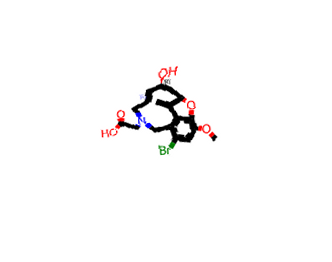 C=C1c2c3c(Br)cc(OC)c2OC1C[C@@H](O)/C=C/CN(CC(=O)O)C3